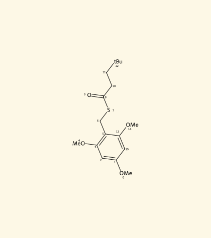 COc1cc(OC)c(CSC(=O)CCC(C)(C)C)c(OC)c1